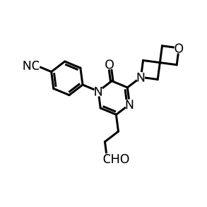 N#Cc1ccc(-n2cc(CCC=O)nc(N3CC4(COC4)C3)c2=O)cc1